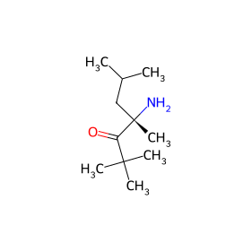 CC(C)C[C@](C)(N)C(=O)C(C)(C)C